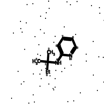 CCC(C)(C)Nc1ccccn1